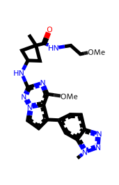 COCCNC(=O)C1(C)CC(Nc2nc(OC)c3c(-c4ccc5nnn(C)c5c4)ccn3n2)C1